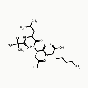 CC(C)C[C@H](NC(=O)C(C)(C)N)C(=O)N[C@@H](CC(=O)O)C(=O)N[C@@H](CCCCN)C(=O)O